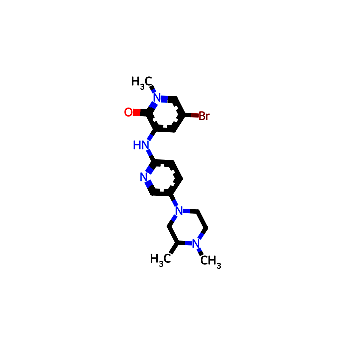 CC1CN(c2ccc(Nc3cc(Br)cn(C)c3=O)nc2)CCN1C